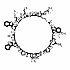 CCCC[C@H]1C(=O)N[C@@H](C)C(=O)NC(C(=O)NCC(N)=O)CSCC(=O)N[C@@H](Cc2ccc(O)cc2)C(=O)N(C)[C@@H](C)C(=O)N[C@@H](CC(N)=O)C(=O)N2CCC[C@H]2C(=O)N[C@@H](CN)C(=O)N[C@@H](CC(C)C)C(=O)N2CCCC2C(=O)N[C@@H](Cc2c[nH]c3ccccc23)C(=O)N[C@@H](CO)C(=O)N[C@@H](Cc2csc3ccccc23)C(=O)N(C)[C@@H](CCSC)C(=O)N1C